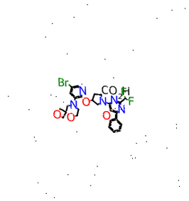 O=C(O)[C@@H]1C[C@H](Oc2ncc(Br)cc2N2CCOC3(COC3)C2)CN1c1nc(C(F)F)nc2c1oc1ccccc12